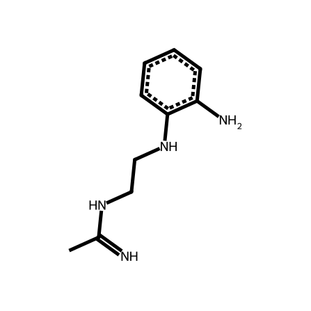 CC(=N)NCCNc1ccccc1N